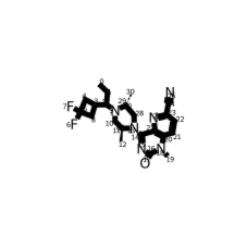 CCC(C1CC(F)(F)C1)N1C[C@H](C)N(c2nc(=O)n(C)c3ccc(C#N)nc23)C[C@H]1C